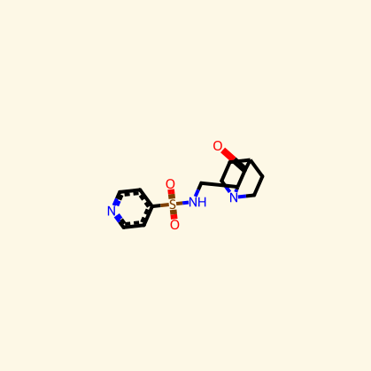 O=C1C2CCN(CC2)C1CNS(=O)(=O)c1ccncc1